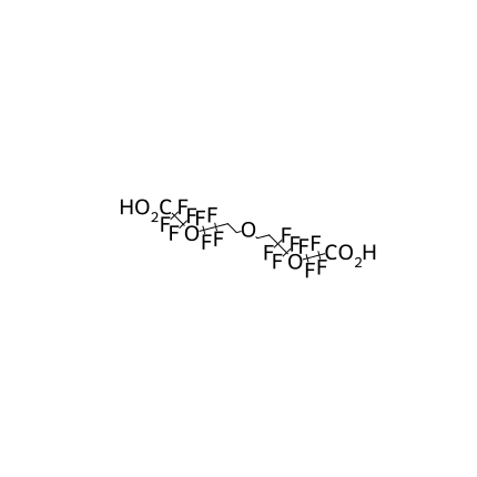 O=C(O)C(F)(F)C(F)(F)OC(F)(F)C(F)(F)CCOCCC(F)(F)C(F)(F)OC(F)(F)C(F)(F)C(=O)O